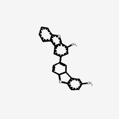 Cc1ccc2c(c1)C1C=C(c3cc(C)c4oc5ccccc5c4c3)C=CC1O2